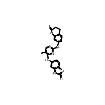 Cc1cnc(Nc2ccc3c(c2)NC(=O)CC3)nc1Nc1ccc2oc(=O)[nH]c2c1